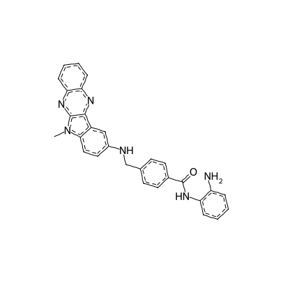 Cn1c2ccc(NCc3ccc(C(=O)Nc4ccccc4N)cc3)cc2c2nc3ccccc3nc21